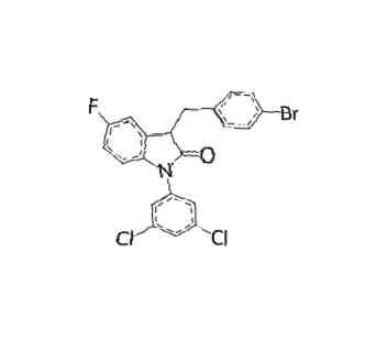 O=C1C(Cc2ccc(Br)cc2)c2cc(F)ccc2N1c1cc(Cl)cc(Cl)c1